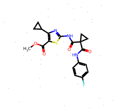 COC(=O)c1sc(NC(=O)C2(C(=O)Nc3ccc(F)cc3)CC2)nc1C1CC1